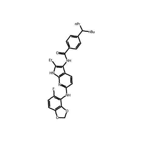 CCCCC(CCC)c1ccc(C(=O)Nc2c(CC)[nH]c3nc(Nc4c(F)ccc5c4OCO5)ccc23)cc1